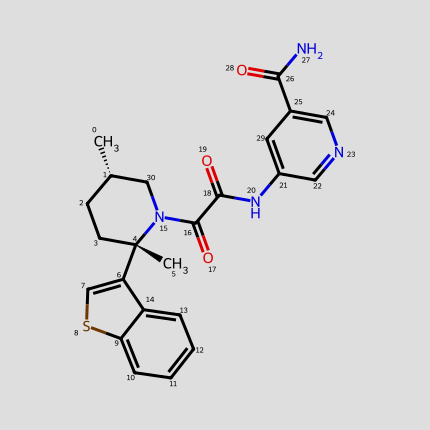 C[C@H]1CC[C@@](C)(c2csc3ccccc23)N(C(=O)C(=O)Nc2cncc(C(N)=O)c2)C1